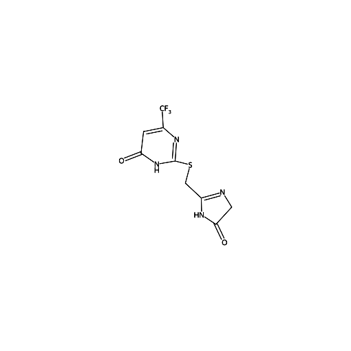 O=C1CN=C(CSc2nc(C(F)(F)F)cc(=O)[nH]2)N1